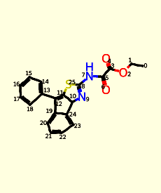 CCOC(=O)C(=O)NC1=NC2C(=C(c3ccccc3)c3ccccc32)S1